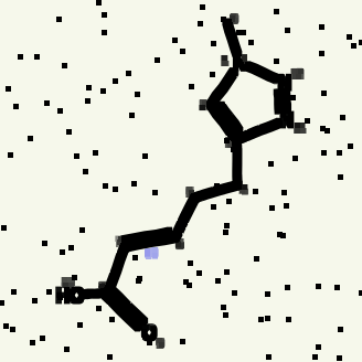 Cn1cc(CC/C=C/C(=O)O)nn1